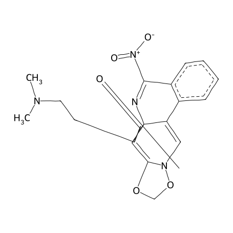 CN(C)CCC1CC2=C3OCON3C=C3c4ccccc4C([N+](=O)[O-])=NC32CC1=O